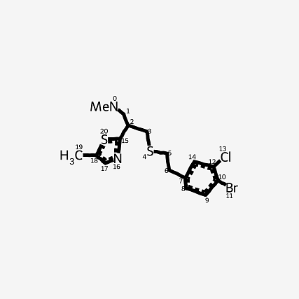 CNCC(CSCCc1ccc(Br)c(Cl)c1)c1ncc(C)s1